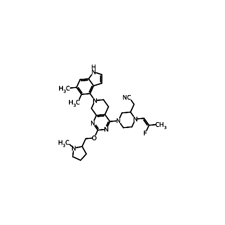 CC(F)=CN1CCN(c2nc(OCC3CCCN3C)nc3c2CCN(c2c(C)c(C)cc4[nH]ccc24)C3)CC1CC#N